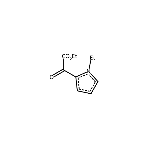 CCOC(=O)C(=O)c1cccn1CC